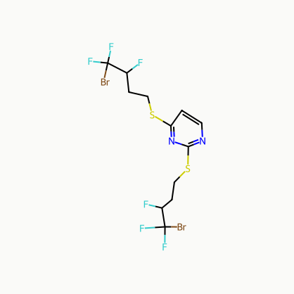 FC(CCSc1ccnc(SCCC(F)C(F)(F)Br)n1)C(F)(F)Br